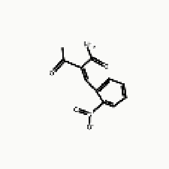 CC(=O)C(=Cc1ccccc1[N+](=O)[O-])C(N)=O